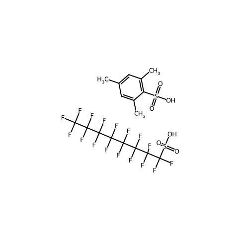 Cc1cc(C)c(S(=O)(=O)O)c(C)c1.O=S(=O)(O)C(F)(F)C(F)(F)C(F)(F)C(F)(F)C(F)(F)C(F)(F)C(F)(F)C(F)(F)F